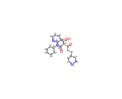 O=C(CCc1ccncc1)c1c(O)c2cccnc2n(-c2ccccc2)c1=O